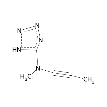 CC#CN(C)c1nnn[nH]1